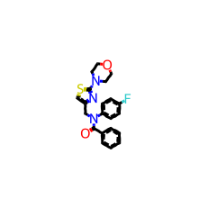 O=C(c1ccccc1)N(Cc1csc(N2CCOCC2)n1)c1ccc(F)cc1